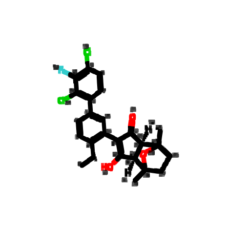 CCc1ccc(-c2ccc(Cl)c(F)c2Cl)cc1C1=C(O)[C@H]2[C@@H](C1=O)C1(C)CCC2(C)O1